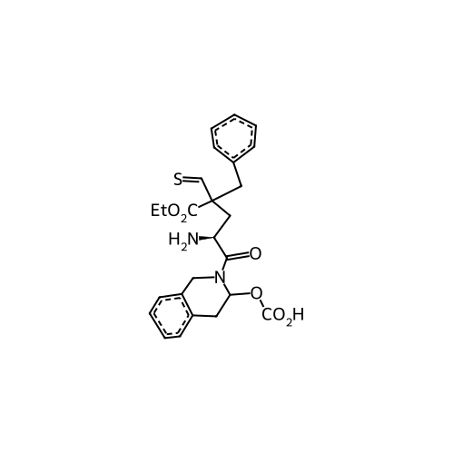 CCOC(=O)C(C=S)(Cc1ccccc1)C[C@H](N)C(=O)N1Cc2ccccc2CC1OC(=O)O